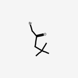 CC(C)(C)CC(=O)CBr